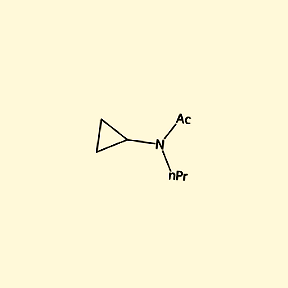 CCCN(C(C)=O)C1CC1